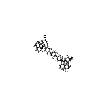 FC1=CCC(N(c2ccc(-c3ccc(-c4ccc(N(c5ccc(F)cc5)c5cccc6ccccc56)cc4)cc3)cc2)c2cccc3ccccc23)C=C1